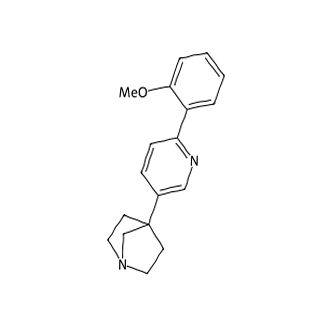 COc1ccccc1-c1ccc(C23CCN(CC2)C3)cn1